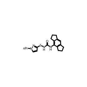 CCCn1ccc(SNC(=O)Nc2c3c(cc4c2CCC4)CCC3)n1